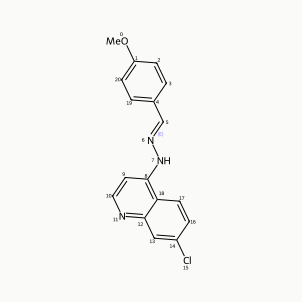 COc1ccc(/C=N/Nc2ccnc3cc(Cl)ccc23)cc1